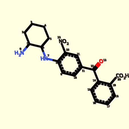 NC1CCCCC1Nc1ccc(C(=O)c2ccccc2C(=O)O)cc1[N+](=O)[O-]